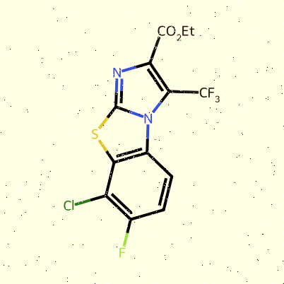 CCOC(=O)c1nc2sc3c(Cl)c(F)ccc3n2c1C(F)(F)F